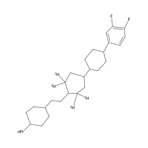 [2H]C1([2H])CC(C2CCC(c3ccc(F)c(F)c3)CC2)CC([2H])([2H])C1CCC1CCC(CCC)CC1